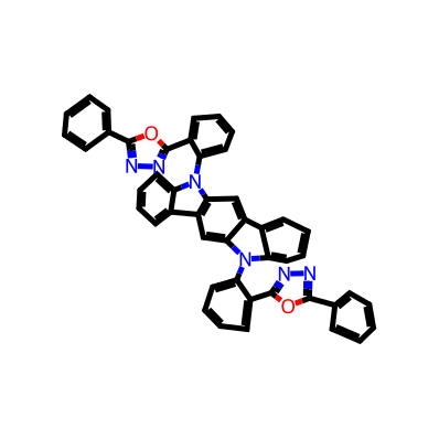 c1ccc(-c2nnc(-c3ccccc3-n3c4ccccc4c4cc5c(cc43)c3ccccc3n5-c3ccccc3-c3nnc(-c4ccccc4)o3)o2)cc1